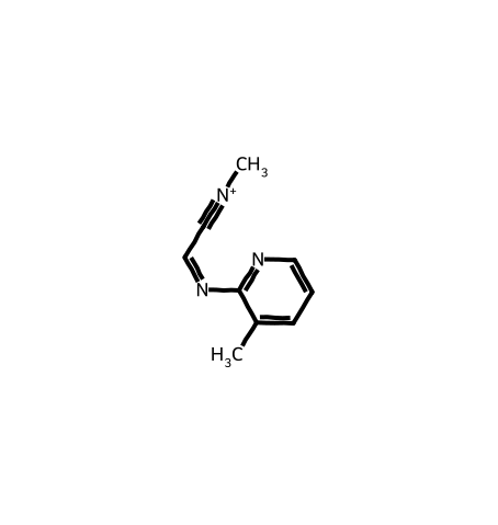 C[N+]#C/C=N\c1ncccc1C